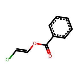 O=C(OC=CCl)c1ccccc1